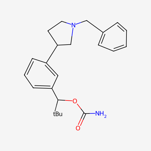 CC(C)(C)C(OC(N)=O)c1cccc(C2CCN(Cc3ccccc3)C2)c1